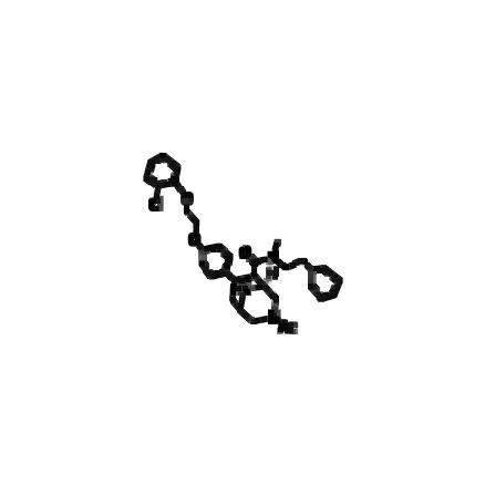 CC(=O)N1CC2CC(c3ccc(OCCOc4ccccc4Cl)cc3)=C(C(=O)N(C)CCc3ccccc3)[C@@H](C1)N2